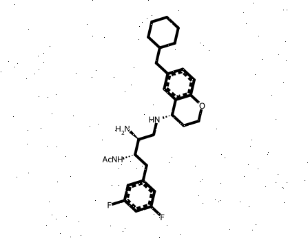 CC(=O)N[C@@H](Cc1cc(F)cc(F)c1)[C@@H](N)CN[C@H]1CCOc2ccc(CC3CCCCC3)cc21